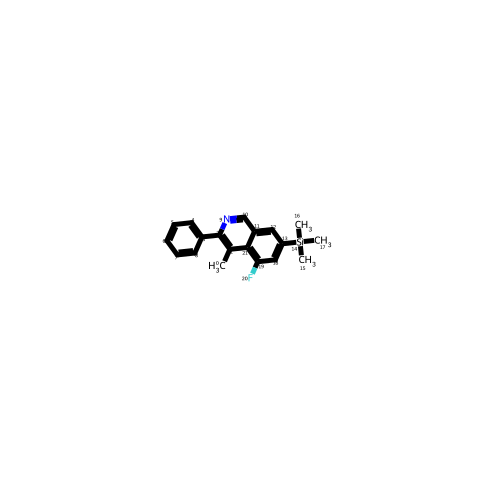 Cc1c(-c2ccccc2)ncc2cc([Si](C)(C)C)cc(F)c12